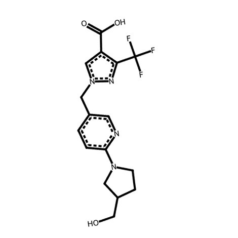 O=C(O)c1cn(Cc2ccc(N3CCC(CO)C3)nc2)nc1C(F)(F)F